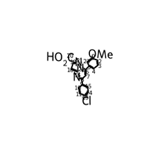 COc1cccc(-c2cc(-c3ccc(Cl)cc3)nc3cc(C(=O)O)nn23)c1